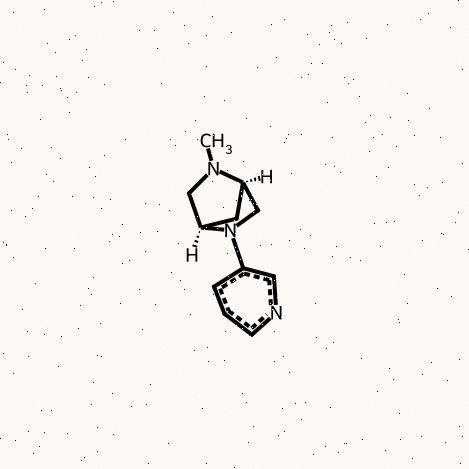 CN1C[C@H]2C[C@@H]1CN2c1cccnc1